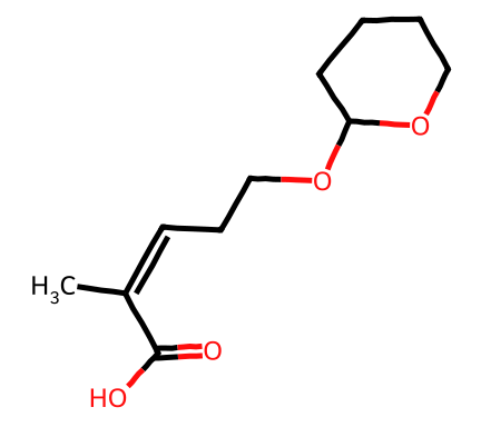 CC(=CCCOC1CCCCO1)C(=O)O